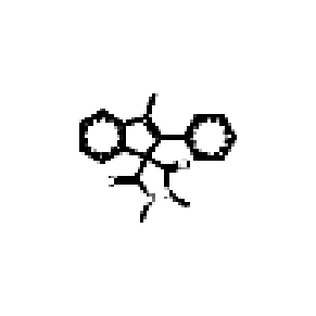 COC(=O)C1(C(=O)OC)C(c2ccccc2)=C(C)c2ccccc21